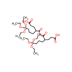 CCO[Si](CCCC(CCC(=O)O)C(=O)OC(=O)C(CCC[Si](OCC)(OCC)OCC)CCC(=O)O)(OCC)OCC